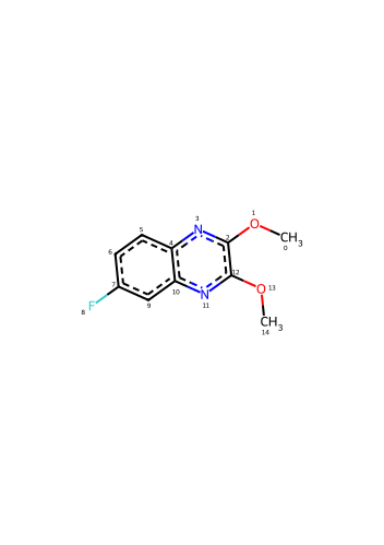 COc1nc2ccc(F)cc2nc1OC